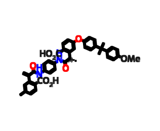 C=C(C(=O)Nc1ccc(NC(=O)[C@@H](C)c2cc(Oc3ccc(C(C)(C)c4ccc(OC)cc4)cc3)ccc2C(=O)O)cc1)c1cc(C)ccc1C(=O)O